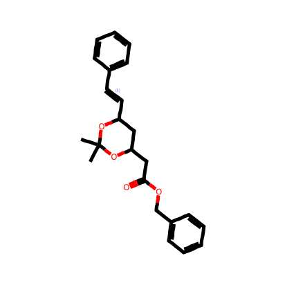 CC1(C)OC(/C=C/c2ccccc2)CC(CC(=O)OCc2ccccc2)O1